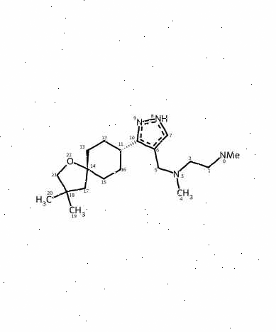 CNCCN(C)Cc1c[nH]nc1[C@H]1CC[C@@]2(CC1)CC(C)(C)CO2